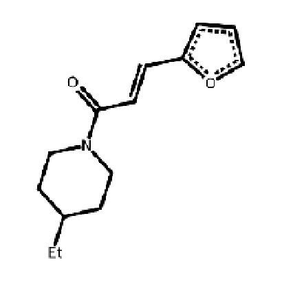 CCC1CCN(C(=O)/C=C/c2ccco2)CC1